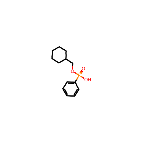 O=P(O)(OCC1CCCCC1)c1ccccc1